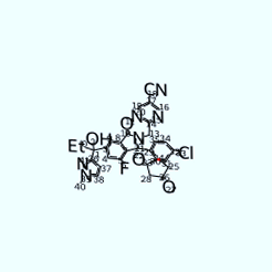 CCC(O)(c1cc(F)c2c(c1)C(=O)N(Cc1ncc(C#N)cn1)[C@@]2(O[C@H]1CCC(=O)C1)c1ccc(Cl)cc1)c1ccn(C)n1